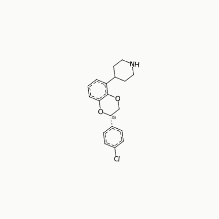 Clc1ccc([C@H]2COc3c(cccc3C3CCNCC3)O2)cc1